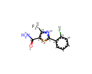 NC(=O)c1sc(-c2ccccc2F)nc1C(F)(F)F